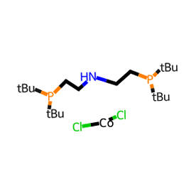 CC(C)(C)P(CCNCCP(C(C)(C)C)C(C)(C)C)C(C)(C)C.[Cl][Co][Cl]